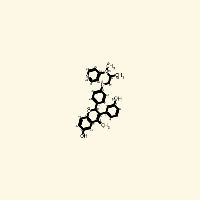 CC1=C(c2cccc(O)c2)C(c2ccc(OCC(C)N(C)c3ccncc3)cc2)Oc2ccc(O)cc21